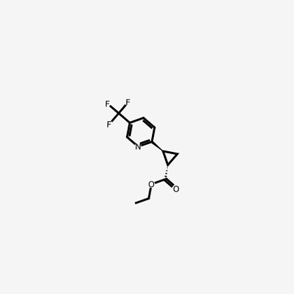 CCOC(=O)[C@H]1C[C@@H]1c1ccc(C(F)(F)F)cn1